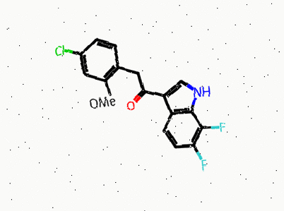 COc1cc(Cl)ccc1CC(=O)c1c[nH]c2c(F)c(F)ccc12